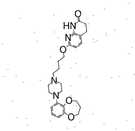 O=C1CCc2ccc(OCCCCN3CCN(c4cccc5c4OCCCO5)CC3)nc2N1